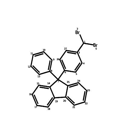 BrC(Br)c1ccc(C2(c3ccccc3)c3ccccc3-c3ccccc32)cc1